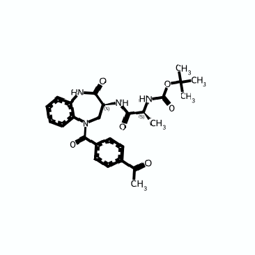 CC(=O)c1ccc(C(=O)N2C[C@H](NC(=O)[C@H](C)NC(=O)OC(C)(C)C)C(=O)Nc3ccccc32)cc1